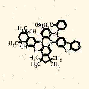 Cc1ccccc1N1c2cc3c(cc2B2c4cc5c(cc4N(c4cc6c(cc4C)C(C)(C)CCC6(C)C)c4cc(C(C)(C)C)cc1c42)C(C)(C)CC5(C)C)oc1ccccc13